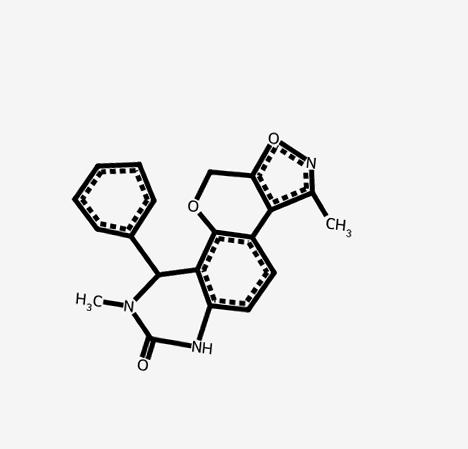 Cc1noc2c1-c1ccc3c(c1OC2)C(c1ccccc1)N(C)C(=O)N3